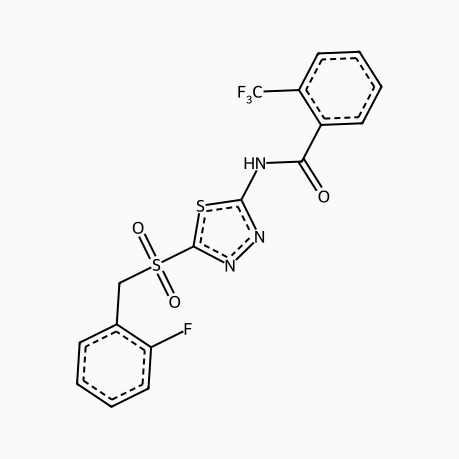 O=C(Nc1nnc(S(=O)(=O)Cc2ccccc2F)s1)c1ccccc1C(F)(F)F